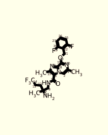 Cc1cn2c(C(=O)NCC(C)(N)CCC(F)(F)F)c(C)nc2c(OCc2c(F)cccc2F)n1